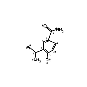 CC(C)C(C)c1cc(C(N)=O)ccc1O